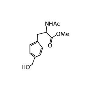 COC(=O)C(Cc1ccc(CO)cc1)NC(C)=O